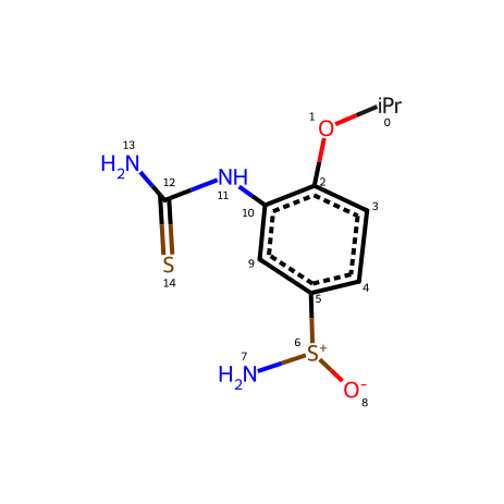 CC(C)Oc1ccc([S+](N)[O-])cc1NC(N)=S